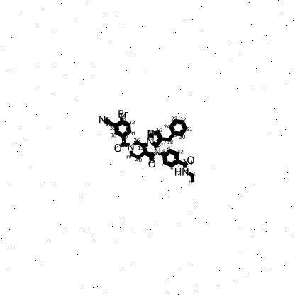 CCNC(=O)c1ccc(-n2c(=O)c3c(n4ncc(Cc5ccccc5)c24)CN(C(=O)c2ccc(Br)c(C#N)c2)CC3)cc1